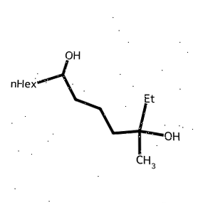 CCCCCCC(O)CCCC(C)(O)CC